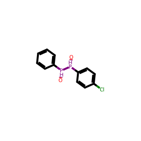 O=[PH](c1ccccc1)[PH](=O)c1ccc(Cl)cc1